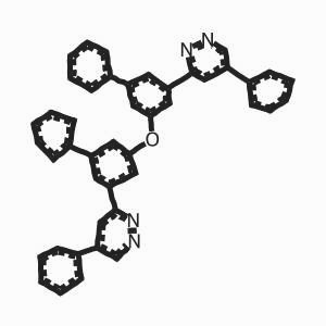 c1ccc(-c2cc(Oc3cc(-c4ccccc4)cc(-c4cc(-c5ccccc5)cnn4)c3)cc(-c3cc(-c4ccccc4)cnn3)c2)cc1